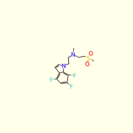 CN(CCn1ccc2c(F)cc(F)c(F)c21)CCS(C)(=O)=O